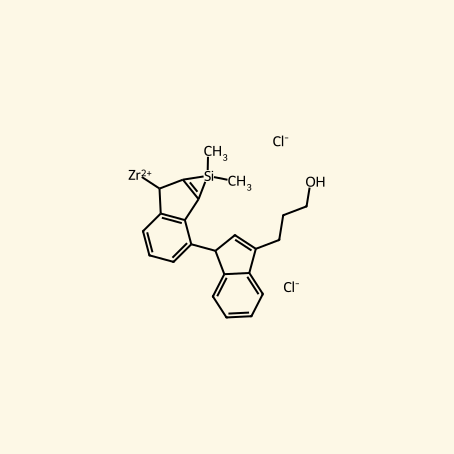 C[Si]1(C)C2=C1[CH]([Zr+2])c1cccc(C3C=C(CCCO)c4ccccc43)c12.[Cl-].[Cl-]